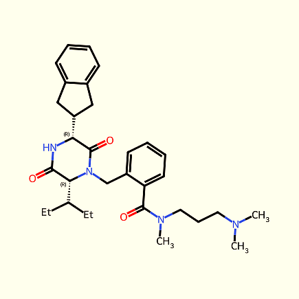 CCC(CC)[C@@H]1C(=O)N[C@H](C2Cc3ccccc3C2)C(=O)N1Cc1ccccc1C(=O)N(C)CCCN(C)C